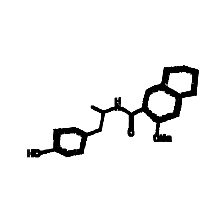 COc1cc2ccccc2cc1C(=O)NC(C)Cc1ccc(O)cc1